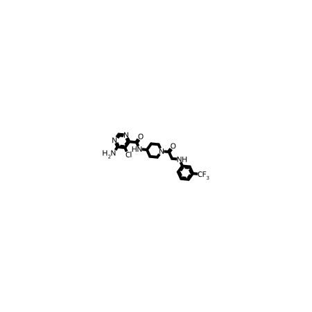 Nc1ncnc(C(=O)NC2CCN(C(=O)CNc3cccc(C(F)(F)F)c3)CC2)c1Cl